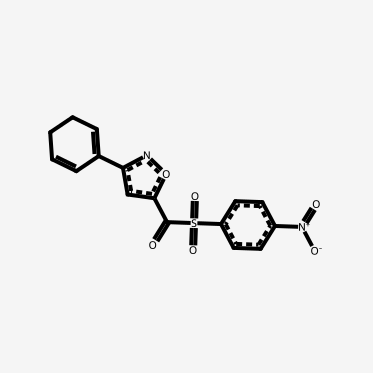 O=C(c1cc(C2=CCCC=C2)no1)S(=O)(=O)c1ccc([N+](=O)[O-])cc1